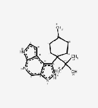 CC1CCC(c2[nH]nc3cnc4[nH]ccc4c23)(C(C)(C)O)CC1